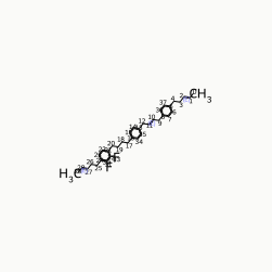 C/C=C/CCc1ccc(C/C=C/Cc2ccc(CCCCc3ccc(CC/C=C/C)c(F)c3F)cc2)cc1